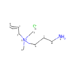 C=CC[N+](C)(C)CCCN.[Cl-]